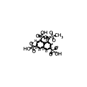 CS(=O)(=O)Nc1cc(S(=O)(=O)O)cc2cc(S(=O)(=O)O)cc(S(=O)(=O)O)c12